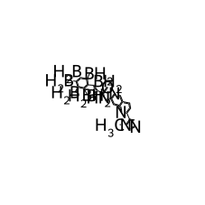 B/C(C(=O)Nc1cc2nc(-c3cncn3C)ccc2cn1)=C(/B)c1c(B)c(B)c(B)c(B)c1B